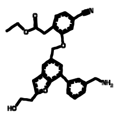 CCOC(=O)Cc1ccc(C#N)cc1OCc1cc(-c2cccc(CN)c2)c2oc(CCO)cc2c1